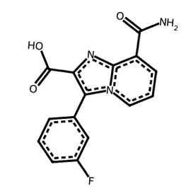 NC(=O)c1cccn2c(-c3cccc(F)c3)c(C(=O)O)nc12